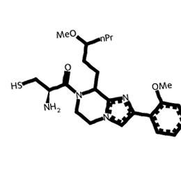 CCCC(CCC1c2nc(-c3ccccc3OC)cn2CCN1C(=O)[C@@H](N)CS)OC